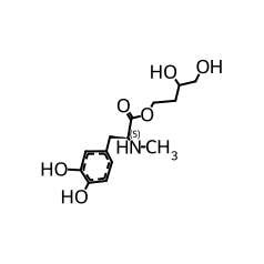 CN[C@@H](Cc1ccc(O)c(O)c1)C(=O)OCCC(O)CO